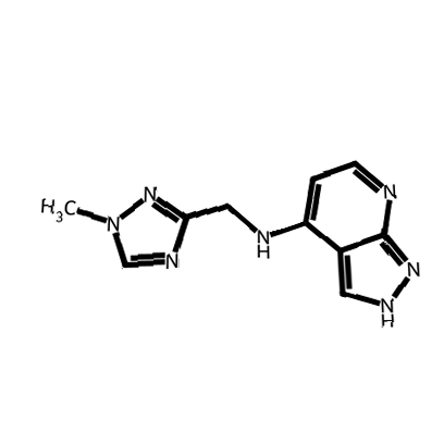 Cn1cnc(CNc2ccnc3n[nH]cc23)n1